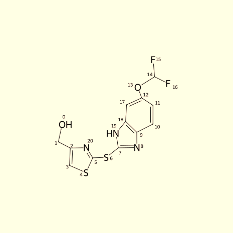 OCc1csc(Sc2nc3ccc(OC(F)F)cc3[nH]2)n1